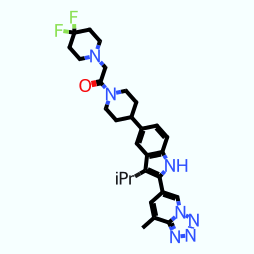 Cc1cc(-c2[nH]c3ccc(C4CCN(C(=O)CN5CCC(F)(F)CC5)CC4)cc3c2C(C)C)cn2nnnc12